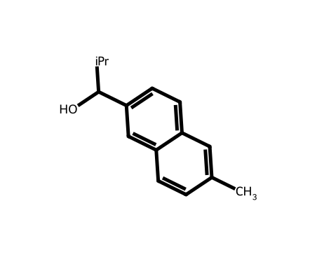 Cc1ccc2cc(C(O)C(C)C)ccc2c1